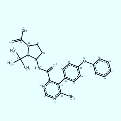 CC(C)(C)C1C(NC(=O)c2ncnc(N)c2-c2ccc(Oc3ccccc3)cc2)CCN1C(=O)O